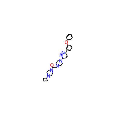 O=C(CN1CCN(c2ccc(-c3cccc(Oc4ccccc4)c3)nn2)CC1)N1CCN(C2CCC2)CC1